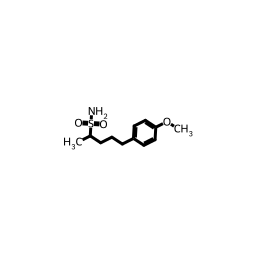 COc1ccc(CCCC(C)S(N)(=O)=O)cc1